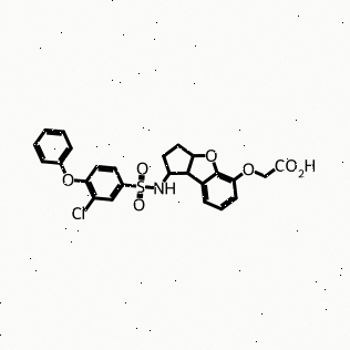 O=C(O)COc1cccc2c1OC1CCC(NS(=O)(=O)c3ccc(Oc4ccccc4)c(Cl)c3)C21